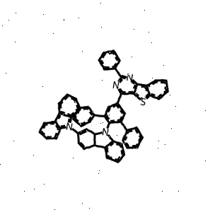 C1=CC2c3ccccc3N(c3c(-c4ccccc4)cc(-c4nc(-c5ccccc5)nc5c4sc4ccccc45)cc3-c3ccccc3)C2C=C1n1c2ccccc2c2ccccc21